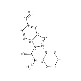 CN(C(=O)n1nnc2cc(C=O)ccc21)C1CCCCC1